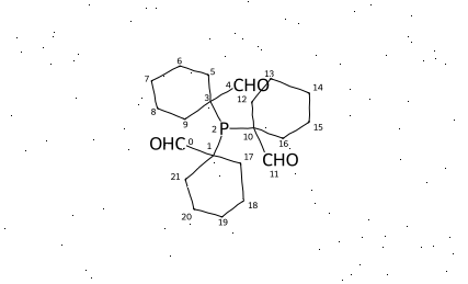 O=CC1(P(C2(C=O)CCCCC2)C2(C=O)CCCCC2)CCCCC1